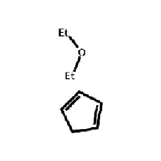 C1=CCC=C1.CCOCC